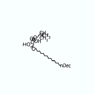 CCCCCCCCCCCCCCCCCCCCCCCCO[C@H](CO)COP(=O)(O)OCC[N+](C)(C)C